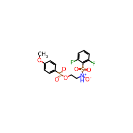 COc1ccc(S(=O)(=O)OCC[NH+]([O-])S(=O)(=O)c2c(F)cccc2F)cc1